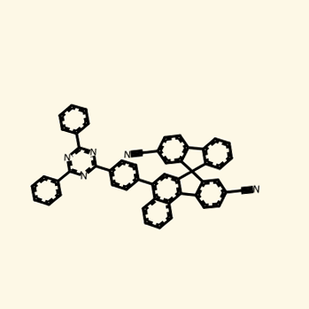 N#Cc1ccc2c(c1)C1(c3ccccc3-2)c2cc(C#N)ccc2-c2c1cc(-c1ccc(-c3nc(-c4ccccc4)nc(-c4ccccc4)n3)cc1)c1ccccc21